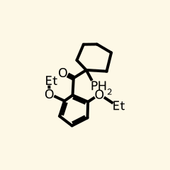 CCOc1cccc(OCC)c1C(=O)C1(P)CCCCC1